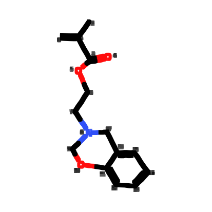 C=C(C)C(=O)OCCN1COc2ccccc2C1